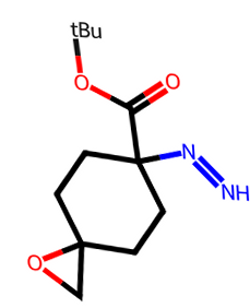 CC(C)(C)OC(=O)C1(N=N)CCC2(CC1)CO2